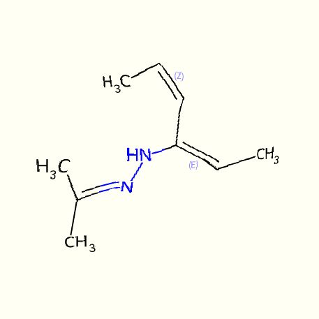 C/C=C\C(=C/C)NN=C(C)C